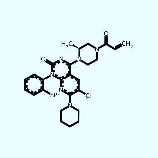 C=CC(=O)N1CCN(c2nc(=O)n(-c3ccccc3CCC)c3nc(N4CCCCC4)c(Cl)cc23)[C@@H](C)C1